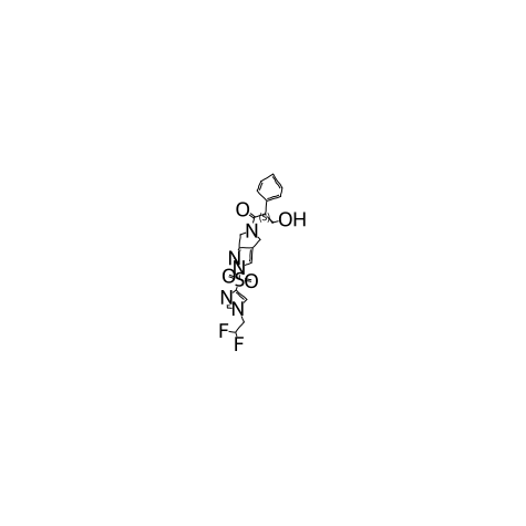 O=C([C@H](CO)c1ccccc1)N1Cc2cn(S(=O)(=O)c3cn(CC(F)F)cn3)nc2C1